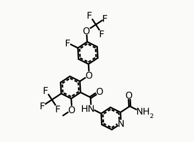 COc1c(C(F)(F)F)ccc(Oc2ccc(OC(F)(F)F)c(F)c2)c1C(=O)Nc1ccnc(C(N)=O)c1